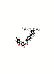 COc1ccc(C(C)(C)c2ccc(Oc3ccc(C(=O)c4ccc(C)cc4)cc3)cc2)cc1S(=O)(=O)O